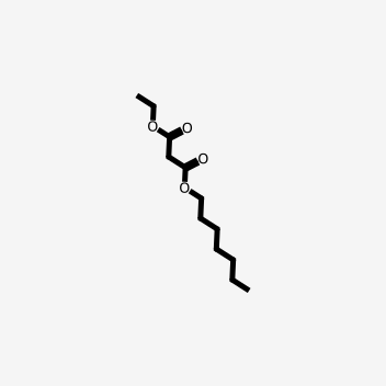 CCCCCCCOC(=O)CC(=O)OCC